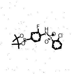 CC1(C)OB(c2ccc(NS(=O)(=O)c3ccccc3Cl)c(F)c2)OC1(C)C